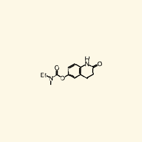 CCN(C)C(=O)Oc1ccc2c(c1)CCC(=O)N2